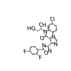 CC(CO)n1c(=O)c2c(-c3noc(-c4ccc(F)cc4F)n3)ncn2c2ccc(Cl)cc21